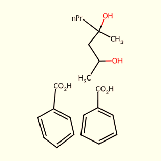 CCCC(C)(O)CC(C)O.O=C(O)c1ccccc1.O=C(O)c1ccccc1